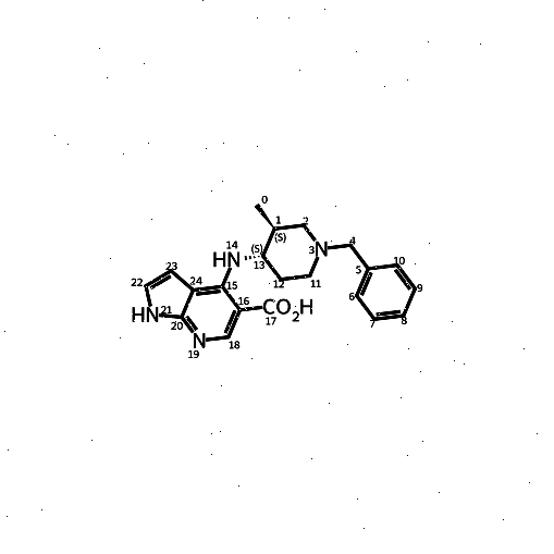 C[C@H]1CN(Cc2ccccc2)CC[C@@H]1Nc1c(C(=O)O)cnc2[nH]ccc12